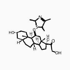 CC1=NC(C)SC1C.C[C@]12CC[C@@H](O)C[C@H]1CC[C@@H]1[C@@H]2C(=O)C[C@@]2(C)[C@H]1CC[C@]2(O)C(=O)CO